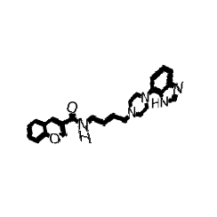 O=C(NCCCCN1CCN(c2cccc3nc[nH]c23)CC1)C1=Cc2ccccc2OC1